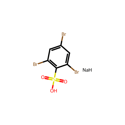 O=S(=O)(O)c1c(Br)cc(Br)cc1Br.[NaH]